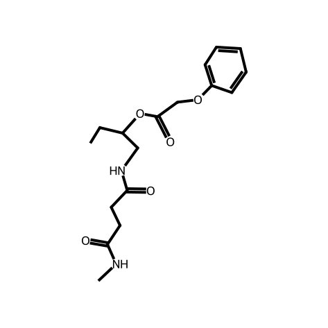 CCC(CNC(=O)CCC(=O)NC)OC(=O)COc1ccccc1